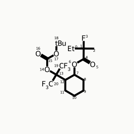 CCC(C)(F)C(=O)OC1CCCCC1C(OC(=O)OC(C)(C)C)(C(F)(F)F)C(F)(F)F